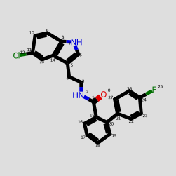 O=C(NCCc1c[nH]c2ccc(Cl)cc12)c1ccccc1-c1ccc(F)cc1